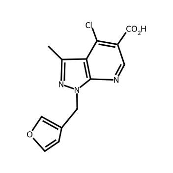 Cc1nn(Cc2ccoc2)c2ncc(C(=O)O)c(Cl)c12